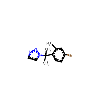 Cc1cc(Br)ccc1C(C)(C)n1ccnn1